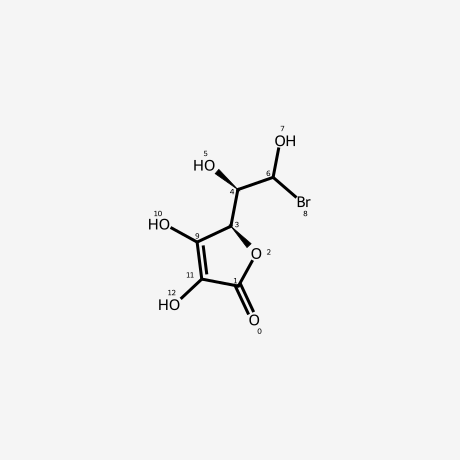 O=C1O[C@H]([C@@H](O)C(O)Br)C(O)=C1O